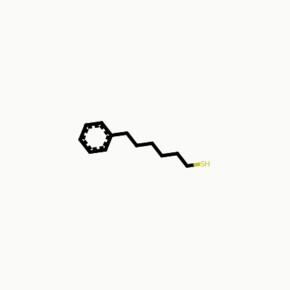 SCCCCCCc1ccccc1